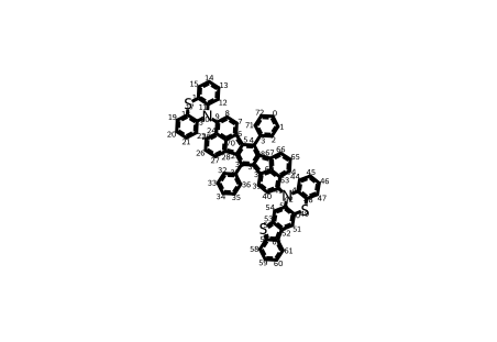 c1ccc(-c2c3c4ccc(N5c6ccccc6Sc6ccccc65)c5cccc(c3c(-c3ccccc3)c3c6ccc(N7c8ccccc8Sc8cc9c(cc87)sc7ccccc79)c7cccc(c23)c76)c54)cc1